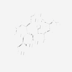 C=C/C=C(\C=C/C)C(/C/C(C)=C/C)=C(/C)C(C)/C(F)=C\C(C)=C/CC